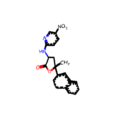 CC1(c2ccc3ccccc3c2)CC(Nc2ccc([N+](=O)[O-])cn2)C(=O)O1